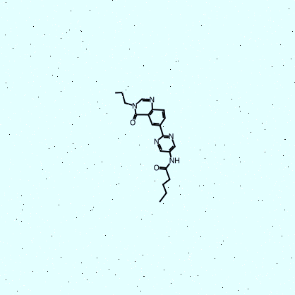 CCCCC(=O)Nc1cnc(-c2ccc3ncn(CCC)c(=O)c3c2)nc1